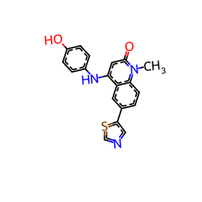 Cn1c(=O)cc(Nc2ccc(O)cc2)c2cc(-c3cncs3)ccc21